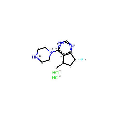 C[C@@H]1C[C@@H](F)c2ncnc(N3CCNCC3)c21.Cl.Cl